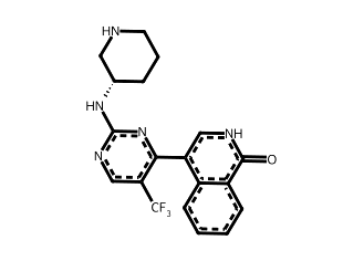 O=c1[nH]cc(-c2nc(N[C@H]3CCCNC3)ncc2C(F)(F)F)c2ccccc12